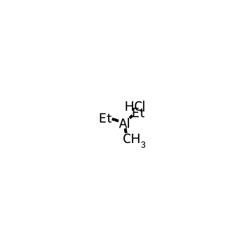 C[CH2][Al]([CH3])[CH2]C.Cl